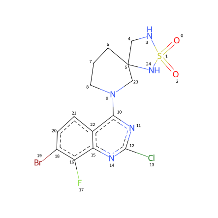 O=S1(=O)NCC2(CCCN(c3nc(Cl)nc4c(F)c(Br)ccc34)C2)N1